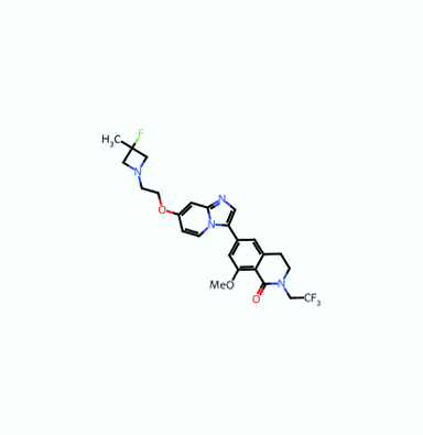 COc1cc(-c2cnc3cc(OCCN4CC(C)(F)C4)ccn23)cc2c1C(=O)N(CC(F)(F)F)CC2